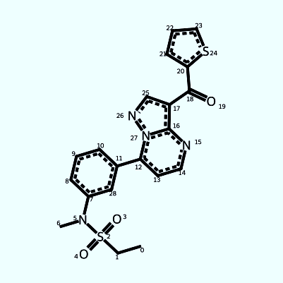 CCS(=O)(=O)N(C)c1cccc(-c2ccnc3c(C(=O)c4cccs4)cnn23)c1